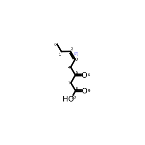 CC/C=C\CC(=O)CC(=O)O